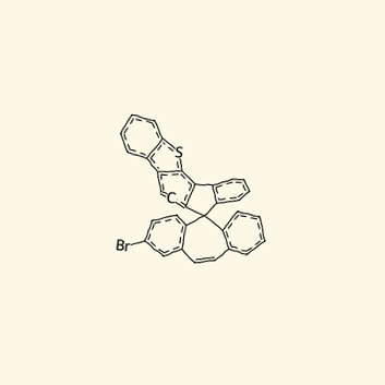 Brc1ccc2c(c1)C=Cc1ccccc1C21c2ccccc2-c2c1ccc1c2sc2ccccc21